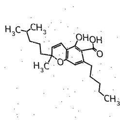 CCCCCc1cc2c(c(O)c1C(=O)O)C=CC(C)(CCCC(C)C)O2